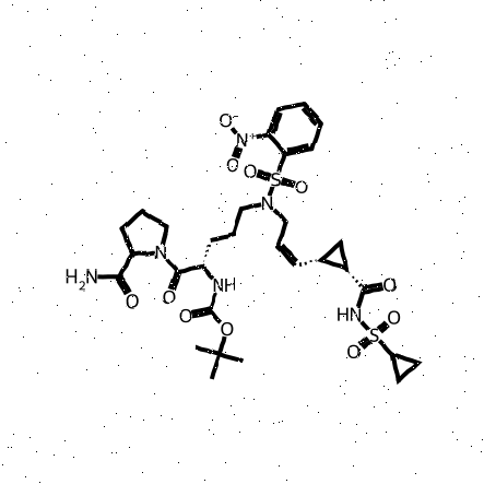 CC(C)(C)OC(=O)N[C@@H](CCCN(C/C=C\[C@@H]1C[C@@H]1C(=O)NS(=O)(=O)C1CC1)S(=O)(=O)c1ccccc1[N+](=O)[O-])C(=O)N1CCCC1C(N)=O